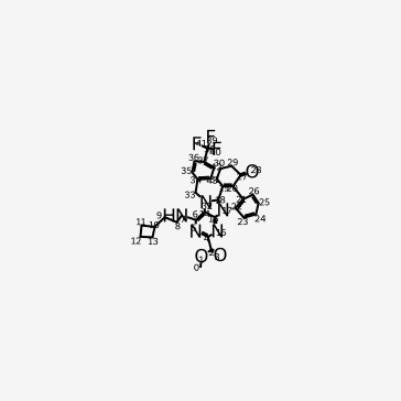 COC(=O)c1nc(NCCC2CCC2)c2c(n1)nc(C1=C(c3ccccc3)C(=O)CCC1)n2Cc1ccc(C(F)(F)F)cc1